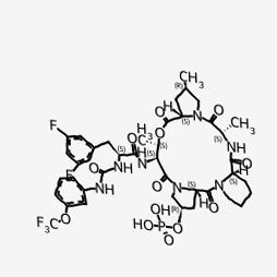 C[C@@H]1C[C@H]2C(=O)O[C@@H](C)[C@H](NC(=O)[C@H](Cc3cc(F)cc(F)c3)NC(=O)Nc3cccc(OC(F)(F)F)c3)C(=O)N3C[C@H](OP(=O)(O)O)C[C@H]3C(=O)N3CCCC[C@H]3C(=O)N[C@@H](C)C(=O)N2C1